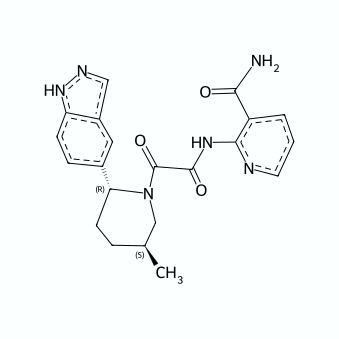 C[C@H]1CC[C@H](c2ccc3[nH]ncc3c2)N(C(=O)C(=O)Nc2ncccc2C(N)=O)C1